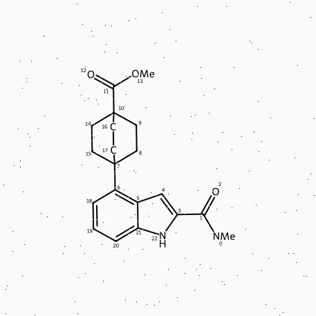 CNC(=O)c1cc2c(C34CCC(C(=O)OC)(CC3)CC4)cccc2[nH]1